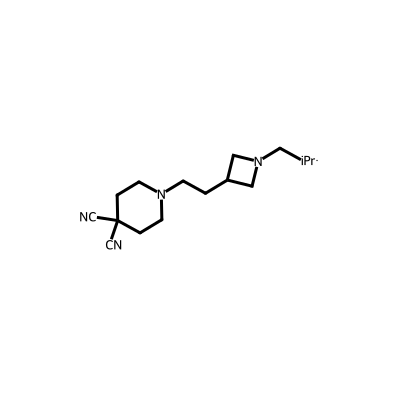 C[C](C)CN1CC(CCN2CCC(C#N)(C#N)CC2)C1